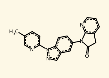 Cc1ccc(-n2ncc3cc(N4C(=O)Cc5cccnc54)ccc32)nc1